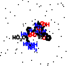 CC(C)[C@H](N)C(=O)N[C@@H](CC(=O)N(C)[C@@H](C)C(=O)N[C@@H](CO)C(=O)N(C)[C@@]1(Cc2ccccc2)CC1=O)C(=O)N1CCC[C@H]1C(=O)N[C@@H](CCCNC(=N)N)C(=O)O